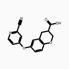 N#Cc1cc(Oc2ccc3c(c2)CC(C(=O)O)CO3)ccn1